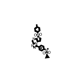 Cc1ccc(S(=O)(=O)n2ccc3c2ncc2nnc(C45CCC(N(C)S(=O)(=O)C6CC6)(CC4)CC5)n23)cc1